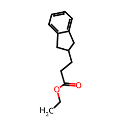 CCOC(=O)CCC1Cc2ccccc2C1